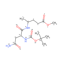 COC(=O)CCC(C)NC(=O)C(CC(N)=O)NC(=O)OC(C)(C)C